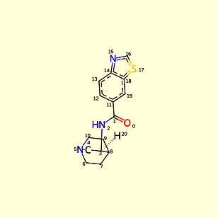 O=C(N[C@@H]1CN2CCC1CC2)c1ccc2ncsc2c1